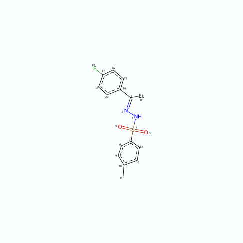 CC/C(=N\NS(=O)(=O)c1ccc(C)cc1)c1ccc(F)cc1